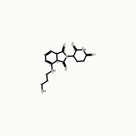 O=C1CCC(N2C(=O)C3C=CC=C(NCCCO)C3C2=O)C(=O)N1